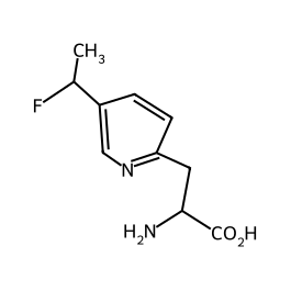 CC(F)c1ccc(CC(N)C(=O)O)nc1